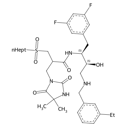 CCCCCCCS(=O)(=O)CC(CN1C(=O)NC(C)(C)C1=O)C(=O)N[C@@H](Cc1cc(F)cc(F)c1)[C@@H](O)CNCc1cccc(CC)c1